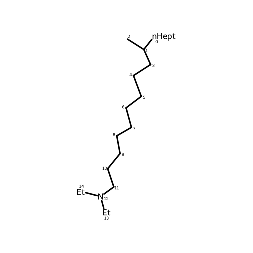 CCCCCCCC(C)CCCCCCCCCN(CC)CC